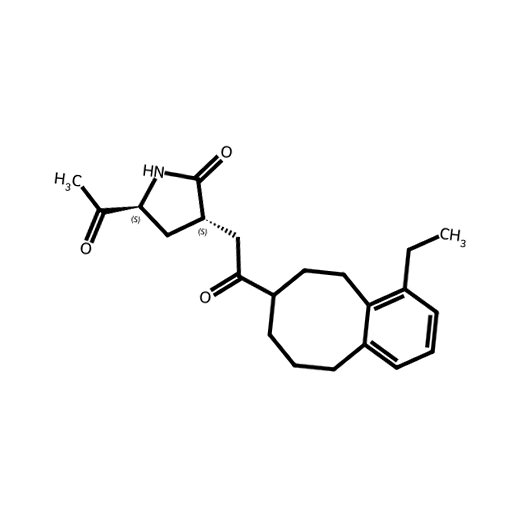 CCc1cccc2c1CCC(C(=O)C[C@@H]1C[C@@H](C(C)=O)NC1=O)CCC2